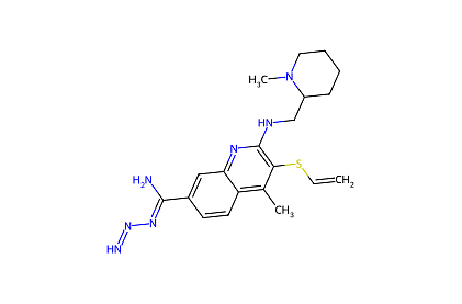 C=CSc1c(NCC2CCCCN2C)nc2cc(/C(N)=N/N=N)ccc2c1C